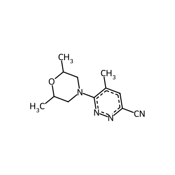 Cc1cc(C#N)nnc1N1CC(C)OC(C)C1